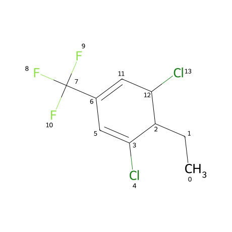 CCC1C(Cl)=CC(C(F)(F)F)=CC1Cl